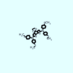 CSc1ccc(N(c2ccc(SC)cc2)c2cc3c(s2)-c2sc(N(c4ccc(SC)cc4)c4ccc(SC)cc4)cc2C32OCCO2)cc1